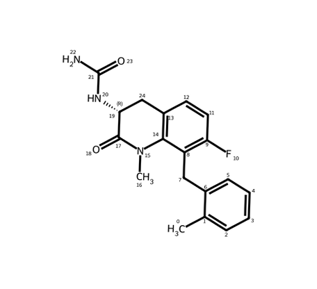 Cc1ccccc1Cc1c(F)ccc2c1N(C)C(=O)[C@H](NC(N)=O)C2